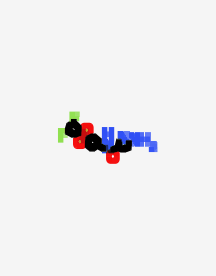 Nc1ccc(C(=O)NCc2ccc(S(=O)(=O)c3cc(F)cc(F)c3)cc2)cn1